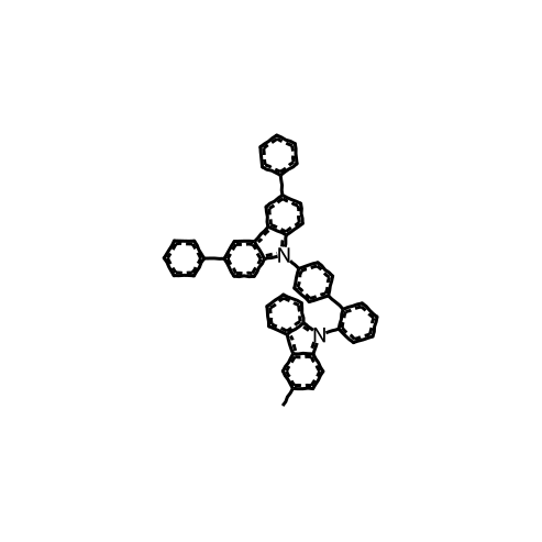 Cc1ccc2c(c1)c1ccccc1n2-c1ccccc1-c1ccc(-n2c3ccc(-c4ccccc4)cc3c3cc(-c4ccccc4)ccc32)cc1